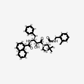 Cc1ccccc1CNC(=O)[C@H]1N(C(=O)[C@@H](O)[C@H](Cc2ccccc2)NC(=O)c2cccc3ccccc23)CSC1(C)C